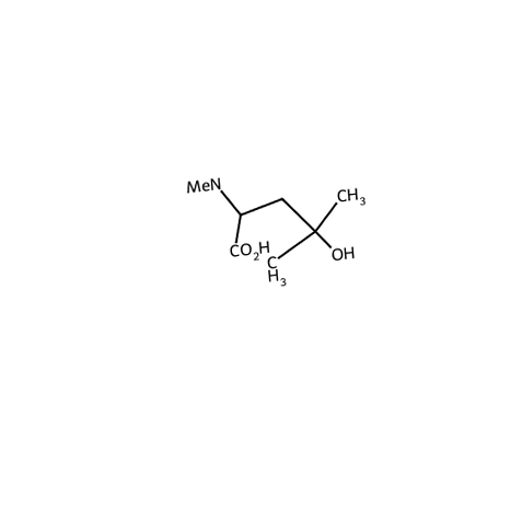 CNC(CC(C)(C)O)C(=O)O